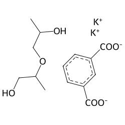 CC(O)COC(C)CO.O=C([O-])c1cccc(C(=O)[O-])c1.[K+].[K+]